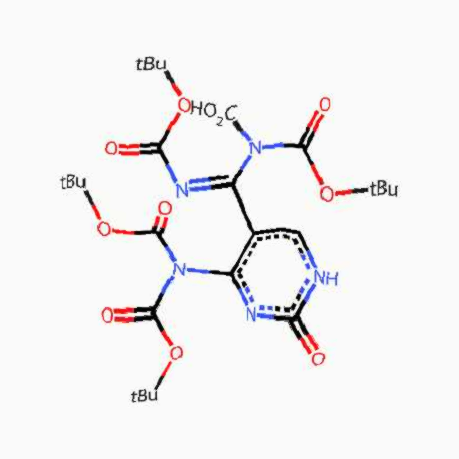 CC(C)(C)OC(=O)N=C(c1c[nH]c(=O)nc1N(C(=O)OC(C)(C)C)C(=O)OC(C)(C)C)N(C(=O)O)C(=O)OC(C)(C)C